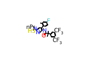 CCCN(S)c1cc(-c2ccc(F)cc2C)c(N(C)C(=O)C(C)(C)c2cc(C(F)(F)F)cc(C(F)(F)F)c2)cn1